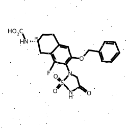 O=C(O)N[C@@H]1CCc2cc(OCc3ccccc3)c(N3CC(=O)NS3(=O)=O)c(F)c2C1